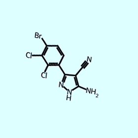 N#Cc1c(-c2ccc(Br)c(Cl)c2Cl)n[nH]c1N